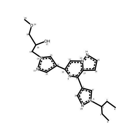 CCC(CC)n1cc(-c2nc(-c3cnn(CC(O)COC)c3)cn3nccc23)cn1